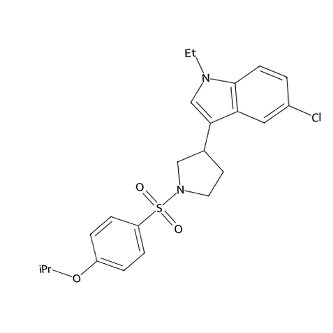 CCn1cc(C2CCN(S(=O)(=O)c3ccc(OC(C)C)cc3)C2)c2cc(Cl)ccc21